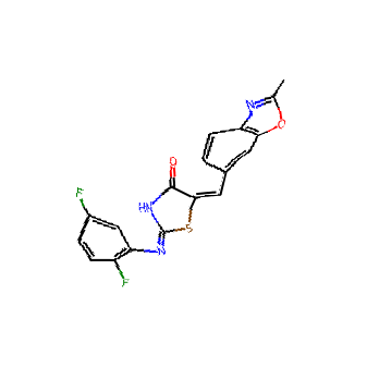 Cc1nc2ccc(C=C3SC(=Nc4cc(F)ccc4F)NC3=O)cc2o1